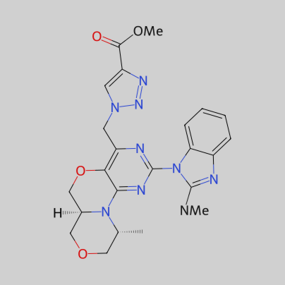 CNc1nc2ccccc2n1-c1nc(Cn2cc(C(=O)OC)nn2)c2c(n1)N1[C@@H](COC[C@H]1C)CO2